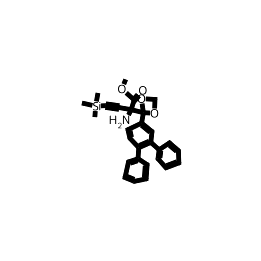 COC(=O)C(N)(C#C[Si](C)(C)C)C1(c2ccc(-c3ccccc3)c(-c3ccccc3)c2)OCO1